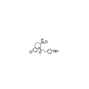 CNc1ccc(CCC(=O)N2CC(NC=O)CCCc3cc(OC)ccc32)cc1